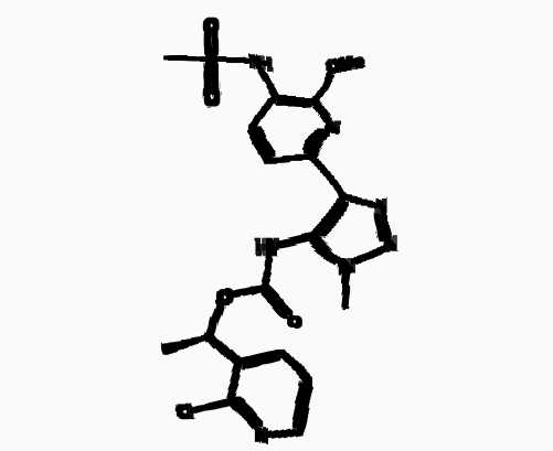 COc1nc(-c2nnn(C)c2NC(=O)O[C@H](C)c2cccnc2Cl)ccc1NS(C)(=O)=O